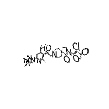 Cc1nc(-n2cnnn2)ccc1[C@H](O)CN1CCC2(CC1)CCN(C1=C(Cl)C(=O)CO1)C2=O